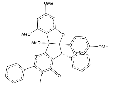 COc1ccc([C@@]23Oc4cc(OC)cc(OC)c4[C@]2(OC)c2nc(-c4ccccc4)n(C)c(=O)c2[C@H]3c2ccccc2)cc1